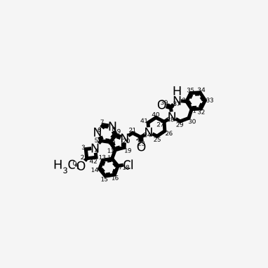 COC1CN(c2ncnc3c2c(-c2ccccc2Cl)cn3CC(=O)N2CCC(N3CCc4ccccc4NC3=O)CC2)C1